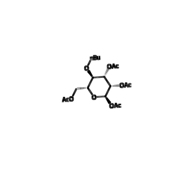 CCCCO[C@H]1[C@H](OC(C)=O)[C@H](OC(C)=O)[C@@H](OC(C)=O)O[C@@H]1COC(C)=O